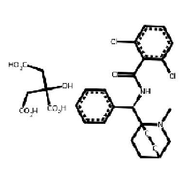 CN1CC2CCC1([C@H](NC(=O)c1c(Cl)cccc1Cl)c1ccccc1)CC2.O=C(O)CC(O)(CC(=O)O)C(=O)O